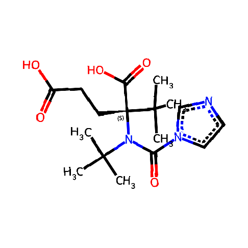 CC(C)(C)N(C(=O)n1ccnc1)[C@](CCC(=O)O)(C(=O)O)C(C)(C)C